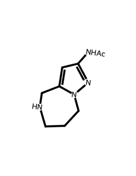 CC(=O)Nc1cc2n(n1)CCCNC2